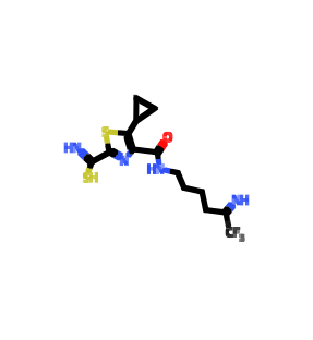 N=C(S)c1nc(C(=O)NCCCCC(=N)C(F)(F)F)c(C2CC2)s1